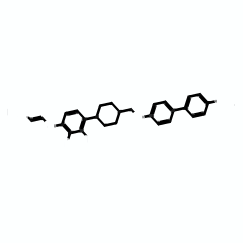 C/C=C/Oc1ccc(C2CCC(COc3ccc(-c4ccc(C)cc4)cc3)CC2)c(F)c1F